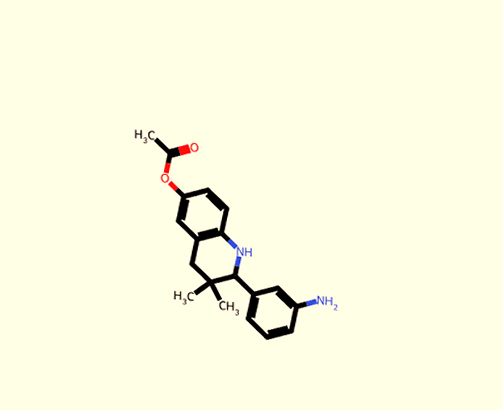 CC(=O)Oc1ccc2c(c1)CC(C)(C)C(c1cccc(N)c1)N2